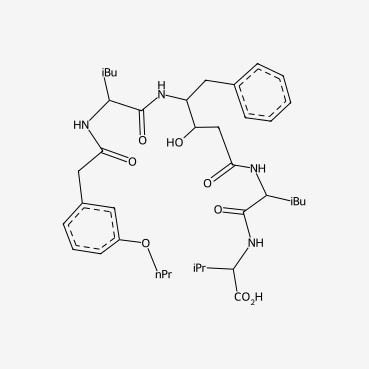 CCCOc1cccc(CC(=O)NC(C(=O)NC(Cc2ccccc2)C(O)CC(=O)NC(C(=O)NC(C(=O)O)C(C)C)C(C)CC)C(C)CC)c1